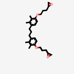 Cc1c(CCCc2ccc(OCCCC3CO3)c(C)c2C)ccc(OCCCC2CO2)c1C